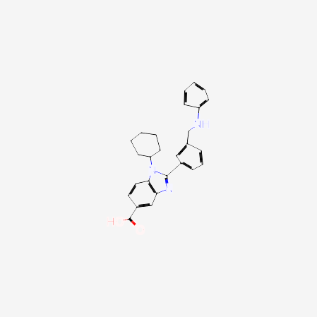 O=C(O)c1ccc2c(c1)nc(-c1cccc(CNc3ccccc3)c1)n2C1CCCCC1